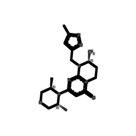 Cc1cc(CN2c3nc(N4[C@H](C)COC[C@H]4C)cc(=O)n3CC[C@H]2C(F)(F)F)on1